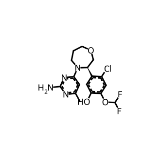 Cc1cc(N2CCCOC[C@H]2c2cc(O)c(OC(F)F)cc2Cl)nc(N)n1